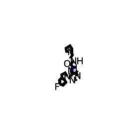 Cc1ncnc(N2CCc3cc(F)ccc32)c1/N=C(\I)C(=O)NCCN1CCCC1